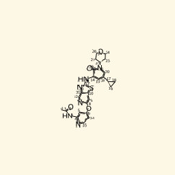 CC(=O)Nc1cc(Oc2cc3sc(Nc4cc(C5CC5)cn(C5CCOCC5)c4=O)nc3cn2)ccn1